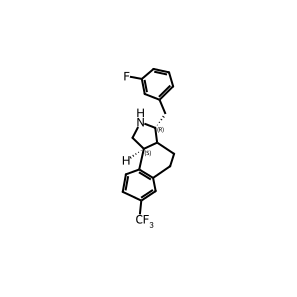 Fc1cccc(C[C@H]2NC[C@@H]3c4ccc(C(F)(F)F)cc4CCC32)c1